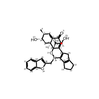 C[C@H]1C=C2C(=O)C=C3C4=C(C5=C(CCC5)C4)N(Cc4cc5ccccc5o4)O[C@]3(C(=O)CO)[C@@]2(C)C[C@@H]1O